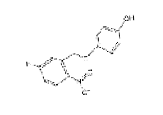 O=[N+]([O-])c1ccc(F)cc1COc1ccc(O)cc1